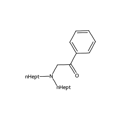 CCCCCCCN(CCCCCCC)CC(=O)c1ccccc1